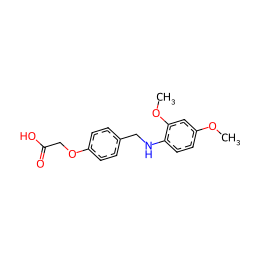 COc1ccc(NCc2ccc(OCC(=O)O)cc2)c(OC)c1